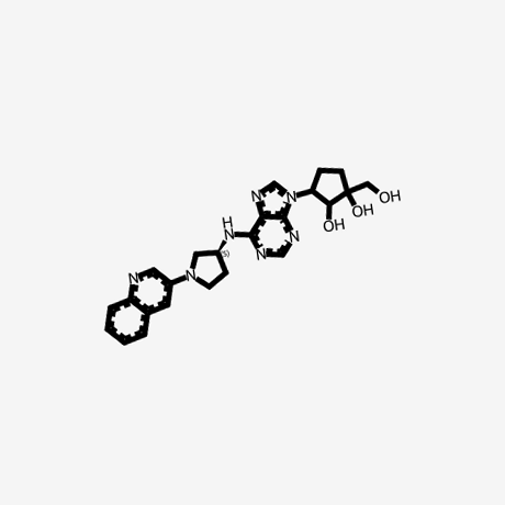 OCC1(O)CCC(n2cnc3c(N[C@H]4CCN(c5cnc6ccccc6c5)C4)ncnc32)C1O